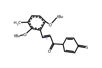 Cc1ccc(OC(C)(C)C)c(/C=C/C(=O)C2C=CC(=S)C=C2)c1OC(C)(C)C